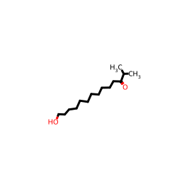 CC(C)C(=O)CCCCCCCCCCCO